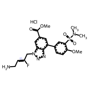 COC(=O)c1cc(-c2ccc(OC)c(S(=O)(=O)N(C)C)c2)c2nnn(C/C(F)=C/CN)c2c1.Cl